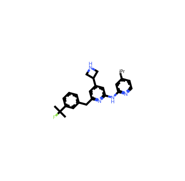 CC(C)c1ccnc(Nc2cc(C3CNC3)cc(Cc3cccc(C(C)(C)F)c3)n2)c1